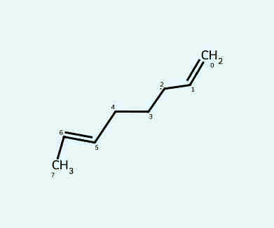 C=C[CH]CCC=CC